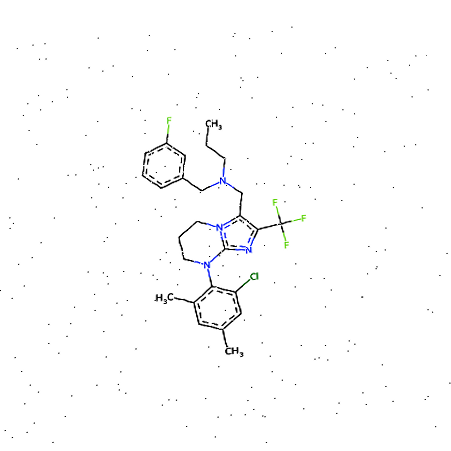 CCCN(Cc1cccc(F)c1)Cc1c(C(F)(F)F)nc2n1CCCN2c1c(C)cc(C)cc1Cl